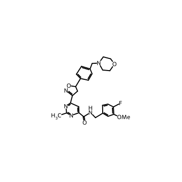 COc1cc(CNC(=O)c2cc(C3=NOC(c4ccc(CN5CCOCC5)cc4)C3)nc(C)n2)ccc1F